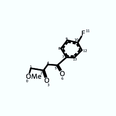 COCC(=O)CC(=O)c1ccc(F)cc1